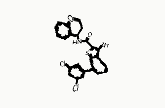 CC(C)c1c(C(=O)NC2CCOc3ccccc32)sc2c(-c3cc(Cl)cc(Cl)c3)cccc12